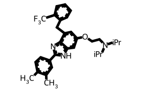 Cc1ccc(-c2nc3c(Cc4ccccc4C(F)(F)F)cc(OCCN(C(C)C)C(C)C)cc3[nH]2)cc1C